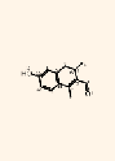 CC1=C(C=O)[C@H](C)Cc2cc(O)ccc21